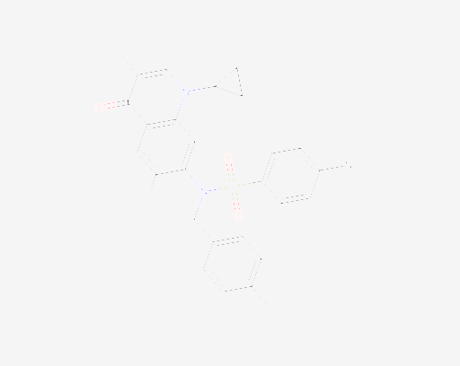 O=C(O)c1ccc(CN(c2cc3c(cc2F)c(=O)c(C(=O)O)cn3C2CC2)S(=O)(=O)c2ccc([N+](=O)[O-])cc2)cc1